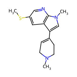 CSc1cnc2c(c1)c(C1=CCN(C)CC1)cn2C